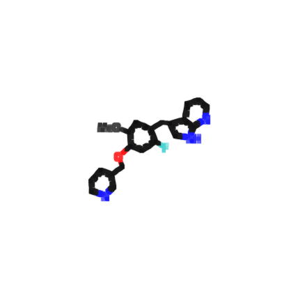 COc1cc(Cc2c[nH]c3ncccc23)c(F)cc1OCc1cccnc1